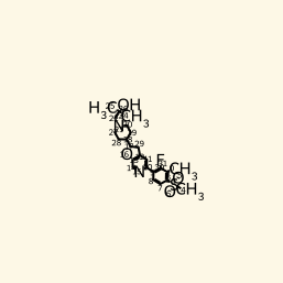 Cc1c(S(C)(=O)=O)ccc(-c2cc3c(cn2)OC(C2CCN(CC(C)(C)O)CC2)C3)c1F